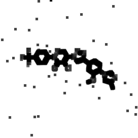 COc1cc(-c2cn(-c3cnn(-c4ccc(C(F)(F)F)cc4)c(=O)c3Cl)nn2)ccc1-n1cnc(C)c1